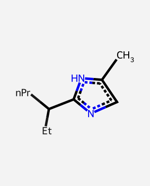 CCCC(CC)c1ncc(C)[nH]1